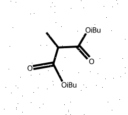 CC(C)COC(=O)C(C)C(=O)OCC(C)C